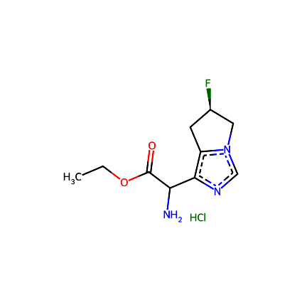 CCOC(=O)C(N)c1ncn2c1C[C@@H](F)C2.Cl